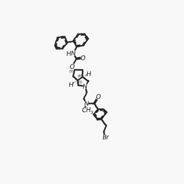 CN(CCN1C[C@H]2C[C@H](OC(=O)Nc3ccccc3-c3ccccc3)C[C@H]2C1)C(=O)c1ccc(CCBr)cc1